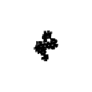 Cc1ncsc1-c1ccc([C@@]2(CC(C)(C)C)NC(=N)N([C@H](COC(=O)NC3(C(C)(F)F)CC3)c3ccc(Cl)c(-n4ncnc4C(F)F)c3)C2=O)c(F)c1